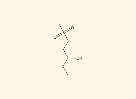 CCC(O)CCS(C)(=O)=O